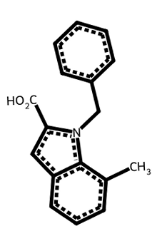 Cc1cccc2cc(C(=O)O)n(Cc3ccccc3)c12